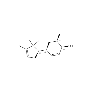 CC1=CC[C@H]([C@@H]2C=C[C@H](O)[C@H](C)C2)C1(C)C